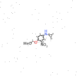 COCOc1ccc(NC2CC2)cc1[N+](=O)[O-]